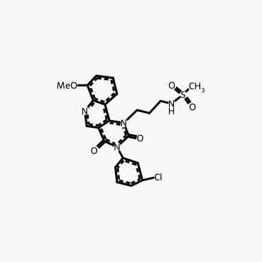 COc1cccc2c1ncc1c(=O)n(-c3cccc(Cl)c3)c(=O)n(CCCNS(C)(=O)=O)c12